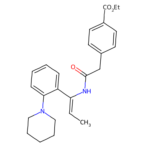 C/C=C(\NC(=O)Cc1ccc(C(=O)OCC)cc1)c1ccccc1N1CCCCC1